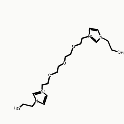 OCCn1cc[n+](CCOCCOCCOCC[n+]2ccn(CCO)c2)c1